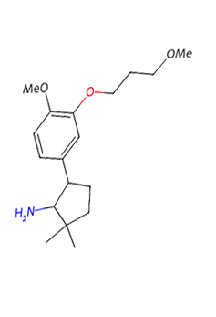 COCCCOc1cc(C2CCC(C)(C)C2N)ccc1OC